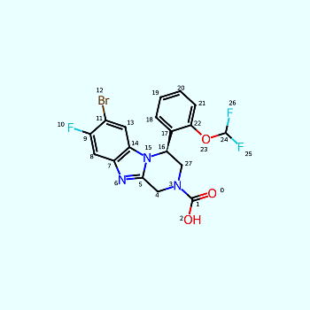 O=C(O)N1Cc2nc3cc(F)c(Br)cc3n2[C@@H](c2ccccc2OC(F)F)C1